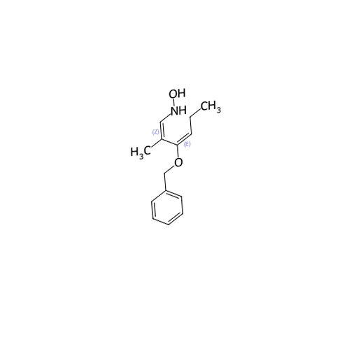 CC/C=C(OCc1ccccc1)\C(C)=C/NO